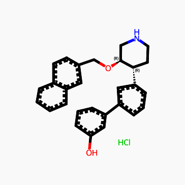 Cl.Oc1cccc(-c2cccc([C@H]3CCNC[C@@H]3OCc3ccc4ccccc4c3)c2)c1